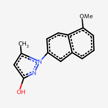 COc1cccc2cc(-n3nc(O)cc3C)ccc12